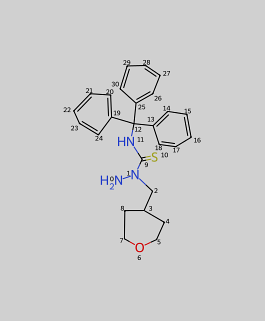 NN(CC1CCOCC1)C(=S)NC(c1ccccc1)(c1ccccc1)c1ccccc1